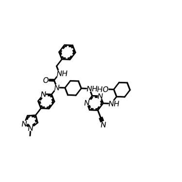 Cn1cc(-c2ccc(N(C(=O)NCc3ccccc3)C3CCC(Nc4ncc(C#N)c(NC5CCCCC5O)n4)CC3)nc2)cn1